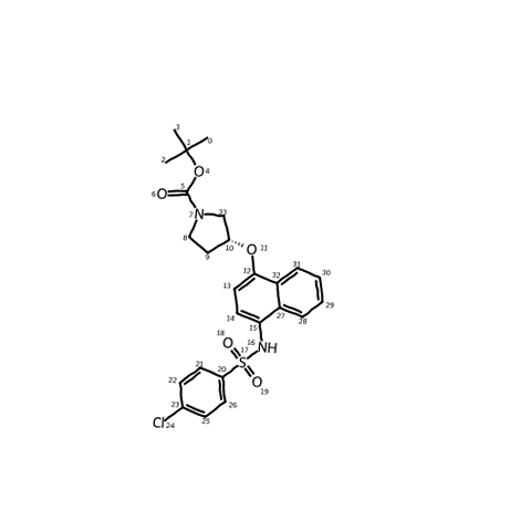 CC(C)(C)OC(=O)N1CC[C@@H](Oc2ccc(NS(=O)(=O)c3ccc(Cl)cc3)c3ccccc23)C1